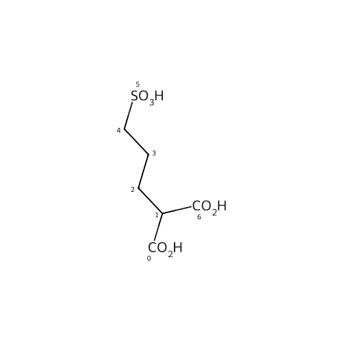 O=C(O)C(CCCS(=O)(=O)O)C(=O)O